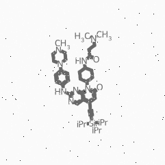 CC(C)[Si](C#Cc1cc(=O)n(C2CCC(NC(=O)CCN(C)C)CC2)c2nc(Nc3ccc(N4CCN(C)CC4)cc3)ncc12)(C(C)C)C(C)C